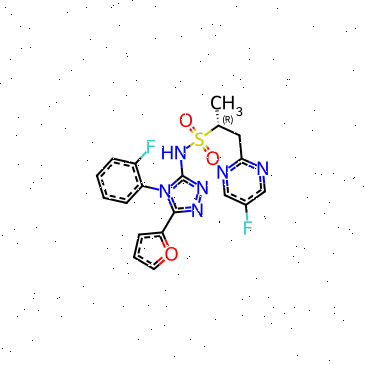 C[C@H](Cc1ncc(F)cn1)S(=O)(=O)Nc1nnc(-c2ccco2)n1-c1ccccc1F